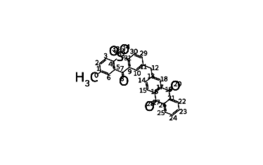 Cc1ccc2c(c1)C(=O)c1cc(Cc3ccc4c(c3)C(=O)c3ccccc3C4=O)ccc1S2(=O)=O